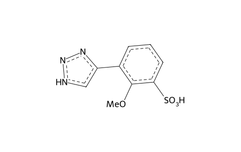 COc1c(-c2c[nH]nn2)cccc1S(=O)(=O)O